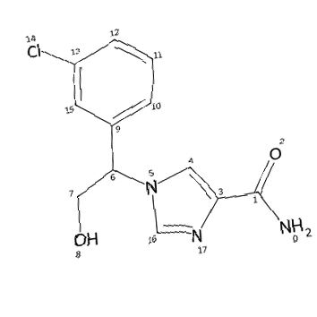 NC(=O)c1cn(C(CO)c2cccc(Cl)c2)cn1